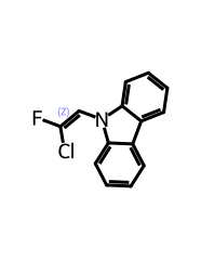 F/C(Cl)=C/n1c2ccccc2c2ccccc21